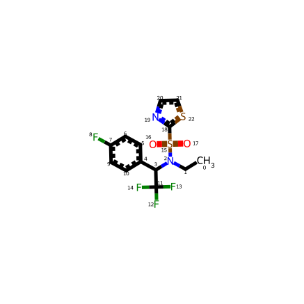 CCN(C(c1ccc(F)cc1)C(F)(F)F)S(=O)(=O)c1nccs1